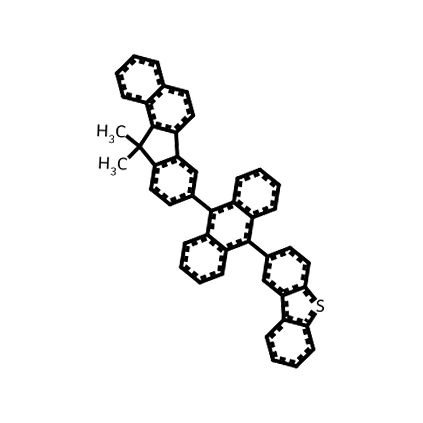 CC1(C)c2ccc(-c3c4ccccc4c(-c4ccc5sc6ccccc6c5c4)c4ccccc34)cc2-c2ccc3ccccc3c21